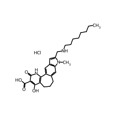 CCCCCCCCNCc1cc2cc3c(cc2n1C)CCCc1c-3[nH]c(=O)c(C(=O)O)c1O.Cl